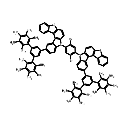 Bc1c(B)c(B)c(-c2cc(-c3ccc4c(c3)c3c5c(ccc3n4-c3cc(Br)c(-n4c6ccc(-c7cc(-c8c(B)c(B)c(B)c(B)c8B)cc(-c8c(B)c(B)c(B)c(B)c8B)c7)cc6c6c7c(ccc64)sc4ccccc47)cc3Br)sc3ccccc35)cc(-c3c(B)c(B)c(B)c(B)c3B)c2)c(B)c1B